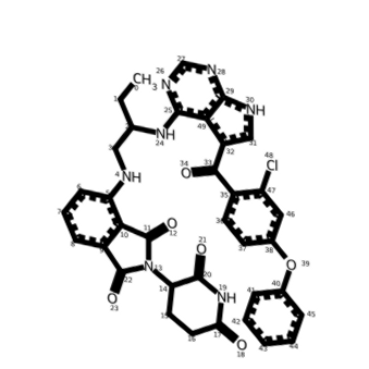 CCC(CNc1cccc2c1C(=O)N(C1CCC(=O)NC1=O)C2=O)Nc1ncnc2[nH]cc(C(=O)c3ccc(Oc4ccccc4)cc3Cl)c12